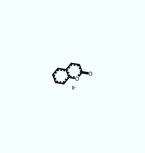 O=c1ccc2ccccc2o1.[Ir]